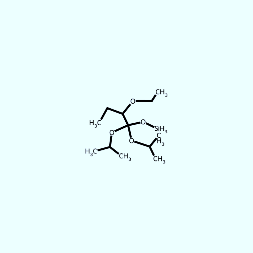 CCOC(CC)C(O[SiH3])(OC(C)C)OC(C)C